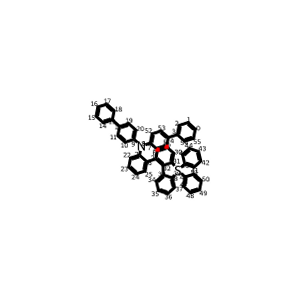 c1ccc(-c2ccc(N(c3ccc(-c4ccccc4)cc3)c3ccccc3-c3cccc4c3-c3ccccc3S4(c3ccccc3)c3ccccc3)cc2)cc1